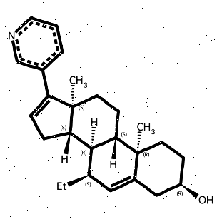 CC[C@@H]1C=C2C[C@H](O)CC[C@]2(C)[C@H]2CC[C@]3(C)C(c4cccnc4)=CC[C@H]3[C@H]12